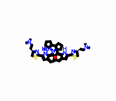 CN(C)CC[C@@H]1CSC(c2cc3cccc(N(N)C4(c5cccc6cc(C7=N[C@H](CCN(C)C)CS7)[nH]c56)CCCC4C4CCCC4)c3[nH]2)=N1